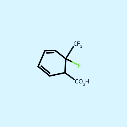 O=C(O)C1C=CC=CC1(F)C(F)(F)F